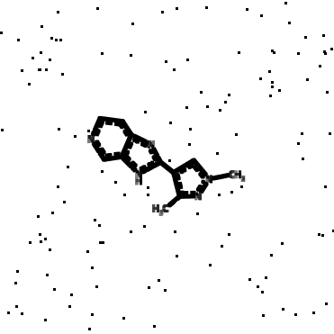 Cc1nn(C)cc1-c1nc2ccncc2[nH]1